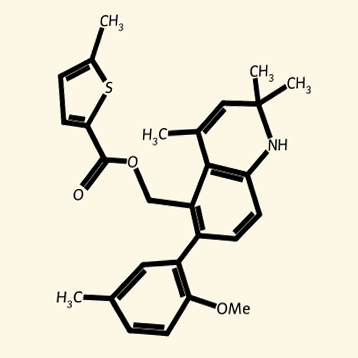 COc1ccc(C)cc1-c1ccc2c(c1COC(=O)c1ccc(C)s1)C(C)=CC(C)(C)N2